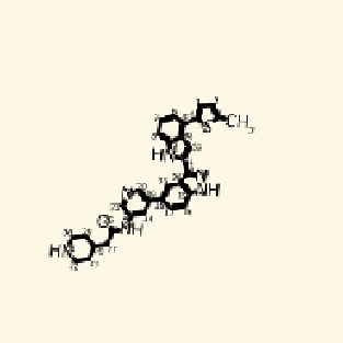 Cc1ccc(-c2cccc3[nH]c(-c4n[nH]c5ccc(-c6cncc(NC(=O)CC7CCNCC7)c6)cc45)cc23)s1